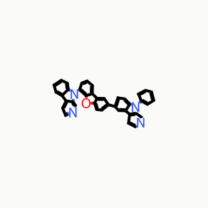 c1ccc(-n2c3ccc(-c4ccc5oc6c(-n7c8ccccc8c8ccncc87)cccc6c5c4)cc3c3ccncc32)cc1